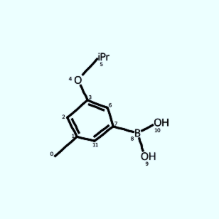 Cc1cc(OC(C)C)cc(B(O)O)c1